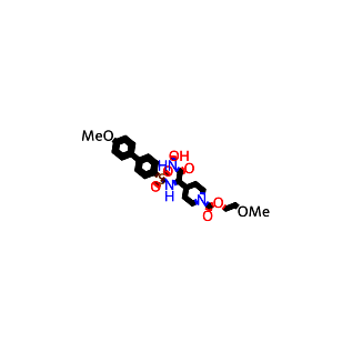 COCCOC(=O)N1CCC(C(NS(=O)(=O)c2ccc(-c3ccc(OC)cc3)cc2)C(=O)NO)CC1